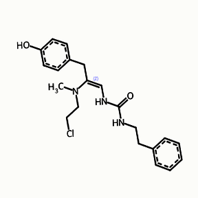 CN(CCCl)/C(=C\NC(=O)NCCc1ccccc1)Cc1ccc(O)cc1